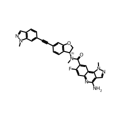 CN(C(=O)c1cc2c(cc1F)nc(N)c1cnn(C)c12)[C@@H]1COc2cc(C#Cc3ccc4cnn(C)c4c3)ccc21